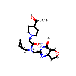 COC(=O)C1CCN(CC(=O)N(CC2=NC3CCOCC3C(=O)N2)CC2CC2)CC1